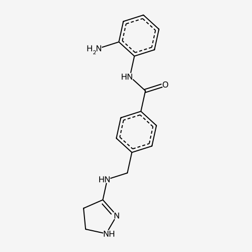 Nc1ccccc1NC(=O)c1ccc(CNC2=NNCC2)cc1